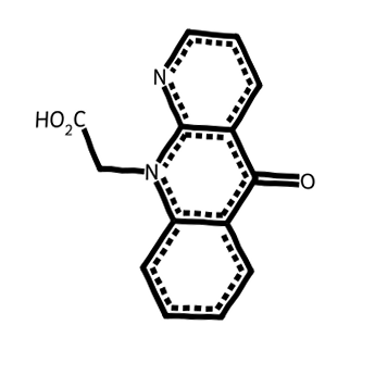 O=C(O)Cn1c2ccccc2c(=O)c2cccnc21